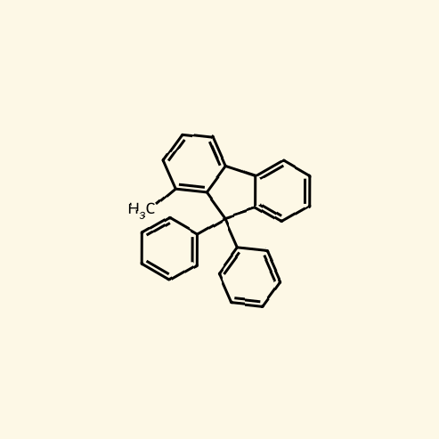 Cc1cccc2c1C(c1ccccc1)(c1ccccc1)c1ccccc1-2